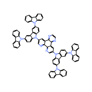 c1ccc2c(c1)c1ccccc1n2-c1ccc2c(c1)c1cc(-n3c4ccccc4c4ccccc43)ccc1n2-c1cnc2c(c1)c1nccnc1c1cc(-n3c4ccc(-n5c6ccccc6c6ccccc65)cc4c4cc(-n5c6ccccc6c6ccccc65)ccc43)cnc12